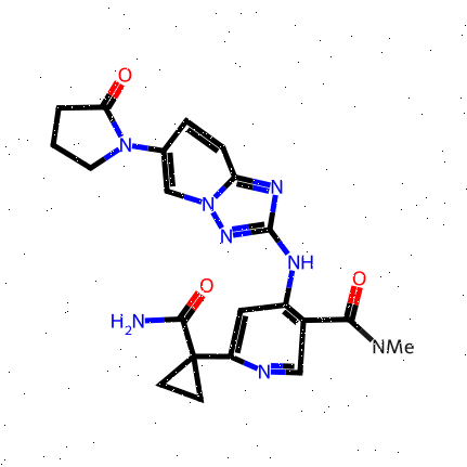 CNC(=O)c1cnc(C2(C(N)=O)CC2)cc1Nc1nc2ccc(N3CCCC3=O)cn2n1